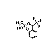 CP(=O)(O)OC(c1ccccc1)C(F)(F)F